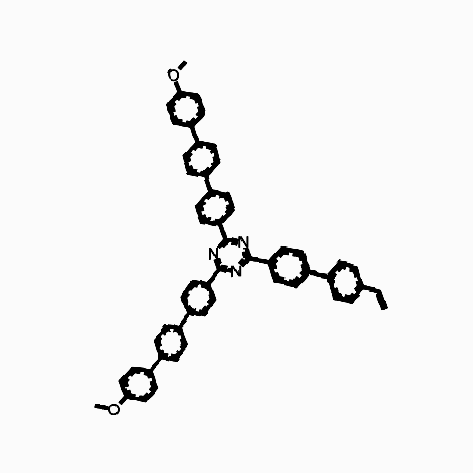 C=Cc1ccc(-c2ccc(-c3nc(-c4ccc(-c5ccc(-c6ccc(OC)cc6)cc5)cc4)nc(-c4ccc(-c5ccc(-c6ccc(OC)cc6)cc5)cc4)n3)cc2)cc1